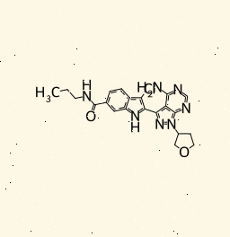 CCCNC(=O)c1ccc2c(Cl)c(-c3nn(C4CCOC4)c4ncnc(N)c34)[nH]c2c1